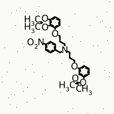 CC1(C)Oc2cccc(OCCCN(CCCOc3cccc4c3OC(C)(C)O4)Cc3ccc([N+](=O)[O-])cc3)c2O1